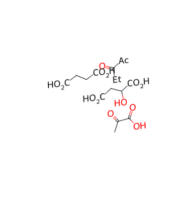 CC(=O)C(=O)O.CCC(=O)C(C)=O.O=C(O)CC(O)C(=O)O.O=C(O)CCC(=O)O